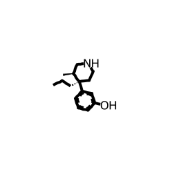 CCC[C@@]1(c2cccc(O)c2)CCNC[C@@H]1C